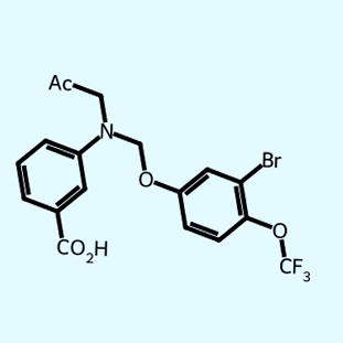 CC(=O)CN(COc1ccc(OC(F)(F)F)c(Br)c1)c1cccc(C(=O)O)c1